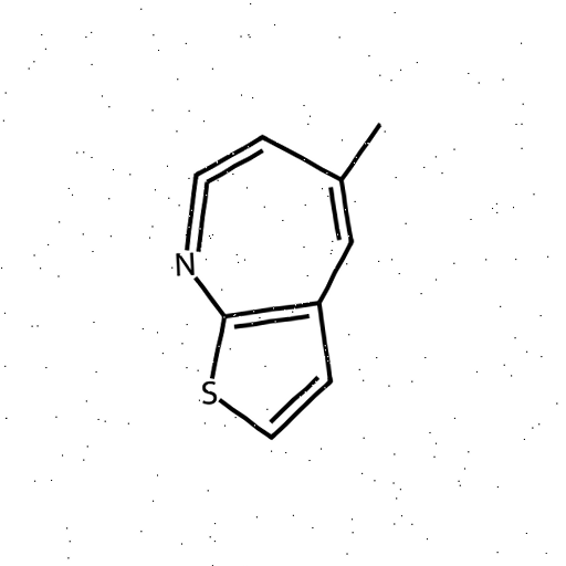 CC1=Cc2ccsc2N=C=C1